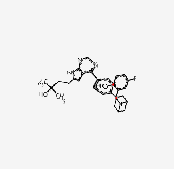 CC(C)(O)CCc1cc2c(-c3ccc(N4CC5CC(C4)N5Cc4cc(F)ccc4O)nc3)ncnc2[nH]1